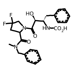 CN(Cc1ccccc1)C(=O)C1CC(F)(F)CN1C(=O)[C@@H](O)[C@H](Cc1ccccc1)NC(=O)O